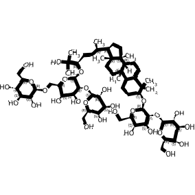 C[C@H](CC[C@@H](O[C@@H]1O[C@H](CO[C@@H]2O[C@H](CO)[C@@H](O)[C@H](O)[C@H]2O)[C@@H](O)[C@H](O)[C@H]1O[C@@H]1O[C@H](CO)[C@@H](O)[C@H](O)[C@H]1O)C(C)(C)O)[C@H]1CC[C@@]2(C)[C@@H]3CC=C4C(CC[C@H](O[C@@H]5O[C@H](CO)[C@@H](O)[C@H](O)[C@H]5O[C@@H]5O[C@H](CO)[C@@H](O)[C@H](O)[C@H]5O)C4(C)C)[C@]3(C)CC[C@]12C